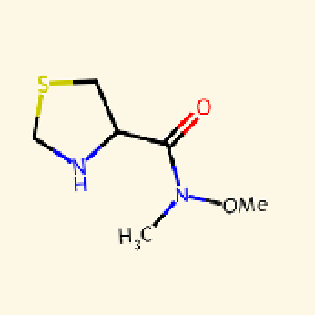 CON(C)C(=O)C1CSCN1